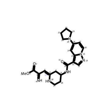 COC(=O)C(=N)/C=C1/CC(NC(=O)c2cnn3ccc(N4CCCC4)cc23)CCN1